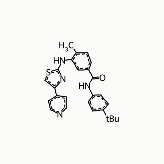 Cc1ccc(C(=O)Nc2ccc(C(C)(C)C)cc2)cc1Nc1nc(-c2ccncc2)cs1